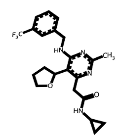 Cc1nc(CC(=O)NC2CC2)c(C2CCCO2)c(NCc2cccc(C(F)(F)F)c2)n1